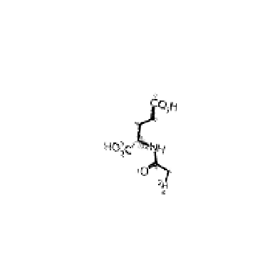 [2H]CC(=O)N[C@@H](CCC(=O)O)C(=O)O